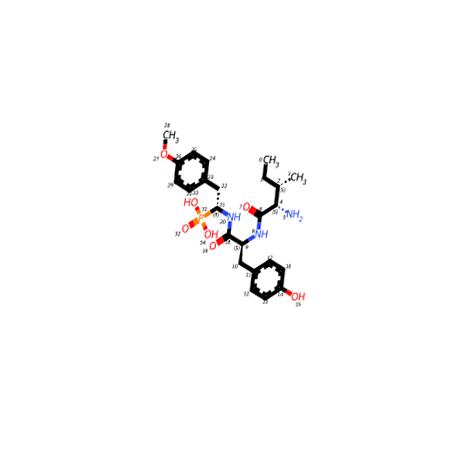 CC[C@H](C)[C@H](N)C(=O)N[C@@H](Cc1ccc(O)cc1)C(=O)N[C@@H](Cc1ccc(OC)cc1)P(=O)(O)O